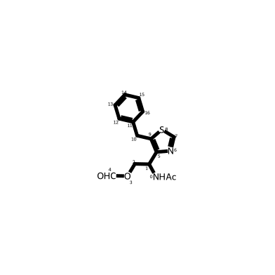 CC(=O)NC(COC=O)c1ncsc1Cc1ccccc1